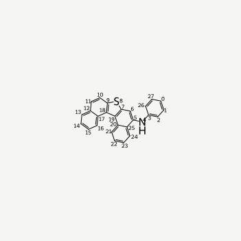 c1ccc(Nc2cc3sc4ccc5ccccc5c4c3c3ccccc23)cc1